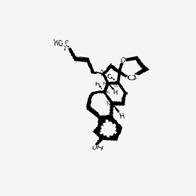 C[C@]12CC[C@@H]3c4ccc(O)cc4CC[C@H]3[C@@H]1[C@@H](CCCC(=O)O)CC21OCCO1